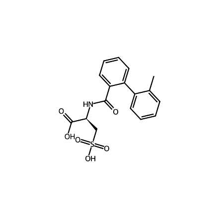 Cc1ccccc1-c1ccccc1C(=O)N[C@@H](CS(=O)(=O)O)C(=O)O